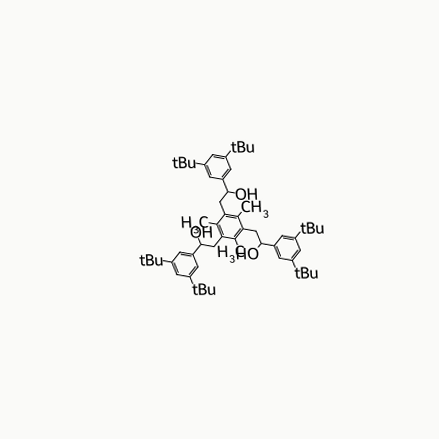 Cc1c(CC(O)c2cc(C(C)(C)C)cc(C(C)(C)C)c2)c(C)c(CC(O)c2cc(C(C)(C)C)cc(C(C)(C)C)c2)c(C)c1CC(O)c1cc(C(C)(C)C)cc(C(C)(C)C)c1